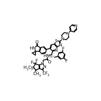 C[C@@H]1c2c(C(F)(F)F)nn(CC(=O)N[C@@H](Cc3cc(F)cc(F)c3)c3nc4nc(N5CCN(c6ccncc6)CC5)sc4cc3-c3ccc4c(c3)C(=O)NC43CC3)c2C(F)(F)[C@@H]1C